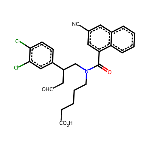 N#Cc1cc(C(=O)N(CCCCC(=O)O)CC(CC=O)c2ccc(Cl)c(Cl)c2)c2ccccc2c1